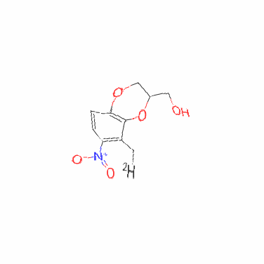 [2H]Cc1c([N+](=O)[O-])ccc2c1OC(CO)CO2